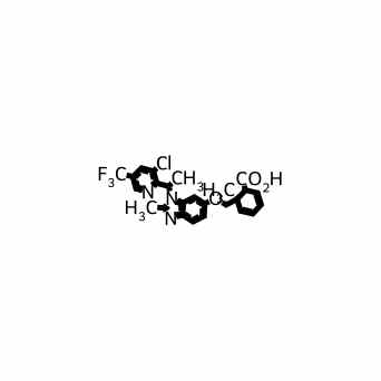 Cc1nc2ccc(OCC3(C)C=CC=CC3C(=O)O)cc2n1C(C)c1ncc(C(F)(F)F)cc1Cl